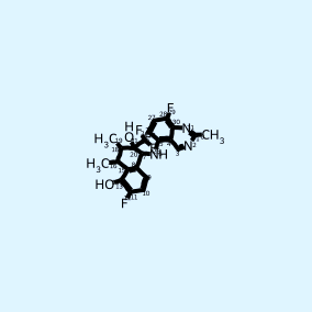 Cc1ncc2c(NC3c4ccc(F)c(O)c4C(C)C(C)C3(O)C(F)(F)F)ccc(F)c2n1